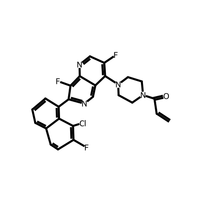 C=CC(=O)N1CCN(c2c(F)cnc3c(F)c(-c4cccc5ccc(F)c(Cl)c45)ncc23)CC1